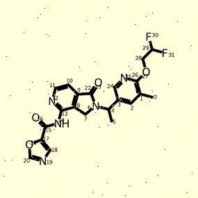 Cc1cc(C(C)N2Cc3c(ccnc3NC(=O)c3cnco3)C2=O)cnc1OCC(F)F